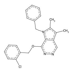 Cc1c(C)n(Cc2ccccc2)c2c(OCc3ccccc3Cl)nncc12